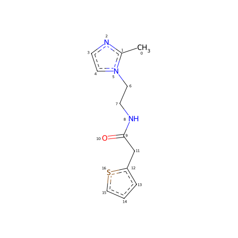 Cc1nccn1CCNC(=O)Cc1cccs1